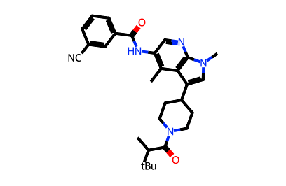 Cc1c(NC(=O)c2cccc(C#N)c2)cnc2c1c(C1CCN(C(=O)C(C)C(C)(C)C)CC1)cn2C